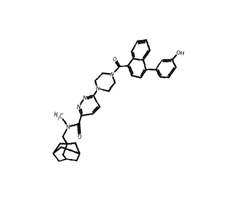 CN(CC12CC3CC(CC(C3)C1)C2)C(=O)c1ccc(N2CCN(C(=O)c3ccc(-c4cccc(O)c4)c4ccccc34)CC2)nn1